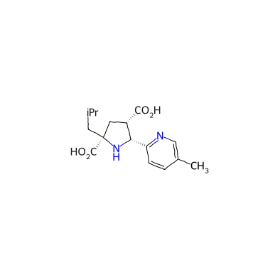 Cc1ccc([C@@H]2N[C@](CC(C)C)(C(=O)O)C[C@@H]2C(=O)O)nc1